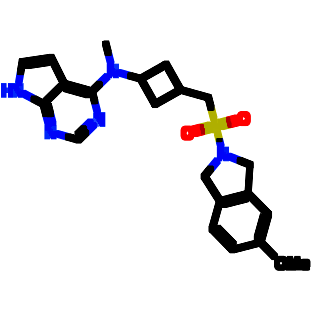 COc1ccc2c(c1)CN(S(=O)(=O)CC1CC(N(C)c3ncnc4[nH]ccc34)C1)C2